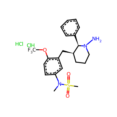 CN(c1ccc(OC(F)(F)F)c(C[C@@H]2CCCN(N)[C@@H]2c2ccccc2)c1)S(C)(=O)=O.Cl.Cl